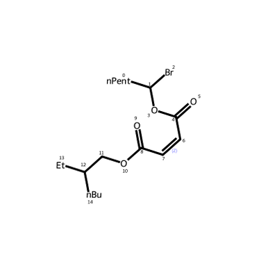 CCCCCC(Br)OC(=O)/C=C\C(=O)OCC(CC)CCCC